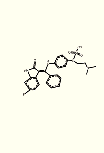 CCCS(=O)(=O)N(CCN(C)C)c1ccc(N/C(=C2\C(=O)Nc3cc(F)ccc32)c2ccccc2)cc1